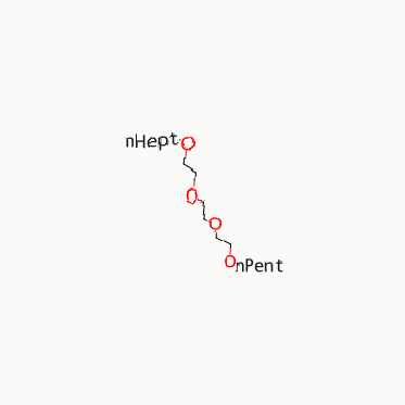 CCCCCCCOCCOCCOCCOCCCCC